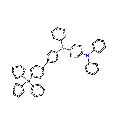 c1ccc(N(c2ccccc2)c2ccc(N(c3ccccc3)c3ccc(-c4ccc([Si](c5ccccc5)(c5ccccc5)c5ccccc5)cc4)cc3)cc2)cc1